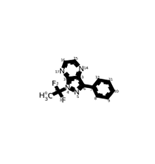 CC(F)(F)n1nc(-c2ccccc2)c2nccnc21